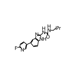 CC(C)CNC(=O)Nc1nc2cc(-c3ccc(F)nc3)ccc2[nH]1